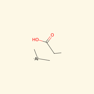 CCC(=O)O.[CH3][Al][CH3]